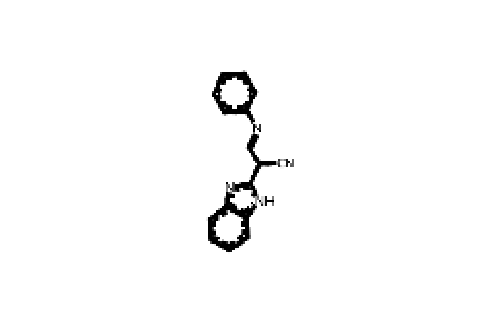 N#CC(C=Nc1ccccc1)c1nc2ccccc2[nH]1